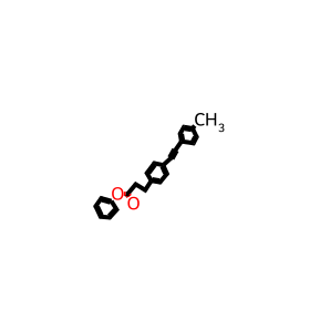 Cc1ccc(C#Cc2ccc(CCC(=O)Oc3ccccc3)cc2)cc1